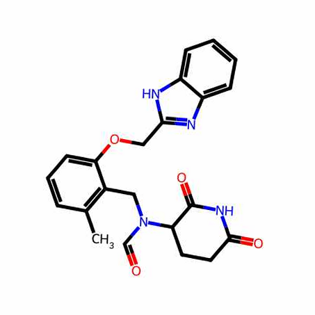 Cc1cccc(OCc2nc3ccccc3[nH]2)c1CN(C=O)C1CCC(=O)NC1=O